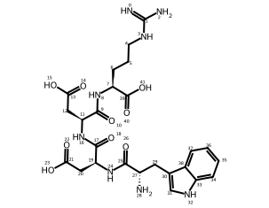 N=C(N)NCCC[C@H](NC(=O)[C@H](CC(=O)O)NC(=O)[C@H](CC(=O)O)NC(=O)[C@@H](N)Cc1c[nH]c2ccccc12)C(=O)O